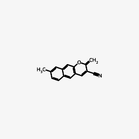 C=C1Oc2cc3cc(C)ccc3cc2C=C1C#N